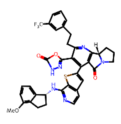 COc1cccc2c1CC[C@H]2Nc1nccc2cc(-c3c4c(nc(CCc5cccc(C(F)(F)F)c5)c3-c3n[nH]c(=O)o3)[C@@H]3CCCN3C4=O)sc12